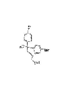 OCC=CC(O)(c1ccc(Br)cc1)c1ccc(Br)cc1